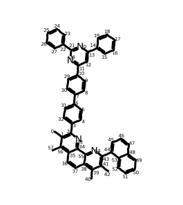 Cc1c(-c2ccc(-c3ccc(-c4cc(-c5ccccc5)nc(-c5ccccc5)n4)cc3)cc2)nc2c(ccc3c(C)c(C)c(-c4cccc5ccccc45)nc32)c1C